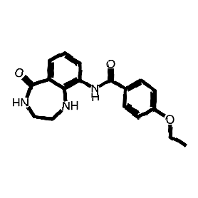 CCOc1ccc(C(=O)Nc2cccc3c2NCCNC3=O)cc1